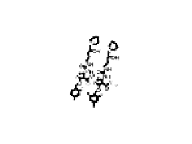 Cc1cc(F)c(COc2nsc(NC(=O)NCCCC(O)CN3CCCCC3)c2C(N)=O)c(F)c1.Cc1ccc(COc2nsc(NC(=O)NCCCC(O)CN3CCCCC3)c2C(N)=O)c(F)c1